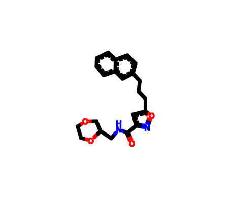 O=C(NCC1COCCO1)c1cc(CCCc2ccc3ccccc3c2)on1